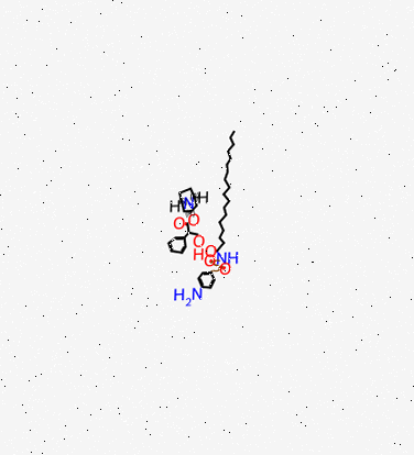 CCCCCCCCCCCCCCCCCC(=O)NS(=O)(=O)c1ccc(N)cc1.CN1[C@@H]2CC[C@H]1C[C@@H](OC(=O)C(CO)c1ccccc1)C2